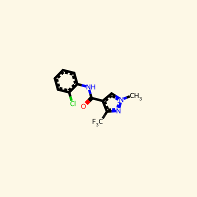 Cn1cc(C(=O)Nc2ccccc2Cl)c(C(F)(F)F)n1